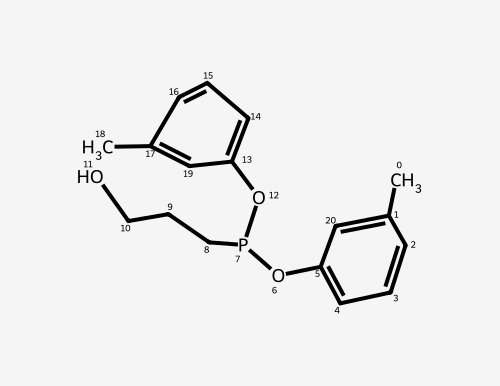 Cc1cccc(OP(CCCO)Oc2cccc(C)c2)c1